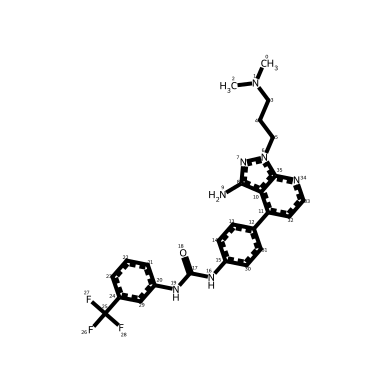 CN(C)CCCn1nc(N)c2c(-c3ccc(NC(=O)Nc4cccc(C(F)(F)F)c4)cc3)ccnc21